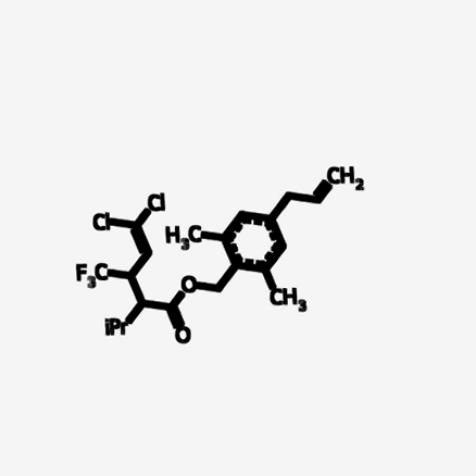 C=CCc1cc(C)c(COC(=O)C(C(C)C)C(C=C(Cl)Cl)C(F)(F)F)c(C)c1